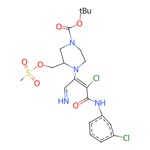 CC(C)(C)OC(=O)N1CCN(/C(C=N)=C(\Cl)C(=O)Nc2cccc(Cl)c2)C(COS(C)(=O)=O)C1